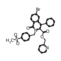 CS(=O)(=O)c1ccc(Cn2c(C(=O)OCc3ccccn3)c(-c3ccccc3)c3cc(Br)ccc3c2=O)cc1